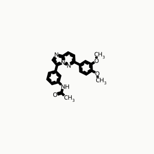 COc1ccc(-c2ccc3ncc(-c4cccc(NC(C)=O)c4)n3n2)cc1OC